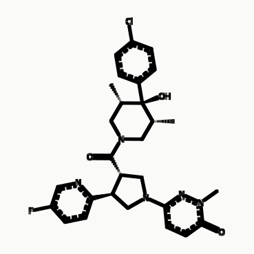 C[C@@H]1CN(C(=O)[C@@H]2CN(c3ccc(=O)n(C)n3)C[C@H]2c2ccc(F)cn2)C[C@H](C)[C@]1(O)c1ccc(Cl)cc1